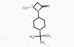 C[C@@H]1CC(=O)N1C1CCN(C(C)(C)C)CC1